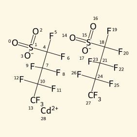 O=S(=O)([O-])C(F)(F)C(F)(F)C(F)(F)C(F)(F)F.O=S(=O)([O-])C(F)(F)C(F)(F)C(F)(F)C(F)(F)F.[Cd+2]